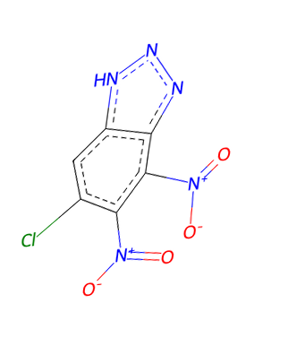 O=[N+]([O-])c1c(Cl)cc2[nH]nnc2c1[N+](=O)[O-]